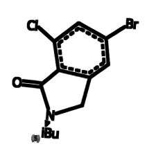 CC[C@H](C)N1Cc2cc(Br)cc(Cl)c2C1=O